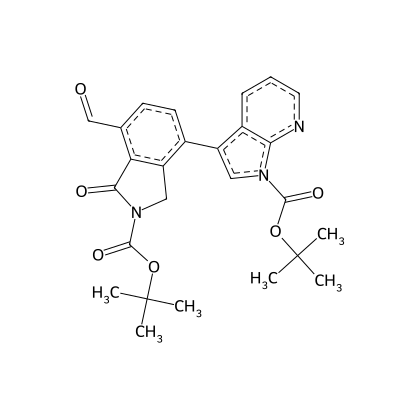 CC(C)(C)OC(=O)N1Cc2c(-c3cn(C(=O)OC(C)(C)C)c4ncccc34)ccc(C=O)c2C1=O